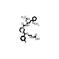 CNC[C@H](CCC1(OC)CCCC1)NC(=O)N1CCC[C@@H]([C@@H](OCCNC(=O)O)c2cccc(F)c2)C1